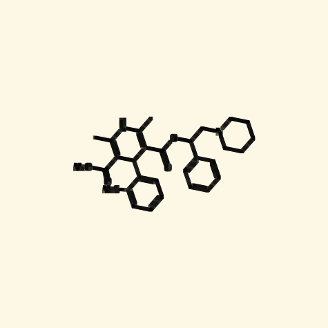 COC(=O)C1=C(C)NC(C)=C(C(=O)OC(CN2CCCCC2)c2ccccc2)C1c1ccccc1SC